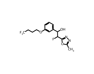 Cc1nnc(C(F)C(O)c2cccc(OCCCC(F)(F)F)c2)o1